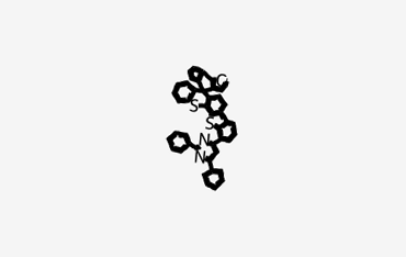 c1ccc(-c2cc(-c3cccc4c3sc3c5c(ccc34)C3(c4ccccc4S5)c4ccccc4-c4ccccc43)nc(-c3ccccc3)n2)cc1